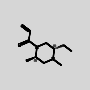 C=CC(=O)N1C[C@H](CC)N(C)C[C@H]1C